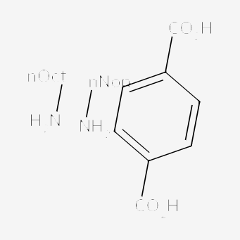 CCCCCCCCCN.CCCCCCCCN.O=C(O)c1ccc(C(=O)O)cc1